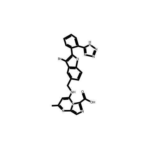 Cc1cc(NCc2ccc3oc(-c4ccccc4-c4nnn[nH]4)c(Br)c3c2)n2c(C(=O)O)ncc2n1